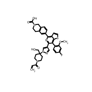 C=CC(=O)N1CCC(CO)(n2cc(-c3nc(-c4ccc5c(c4)CCN(C(=O)O)C5)c4ccsc4c3-c3ccc(F)cc3OC)cn2)CC1